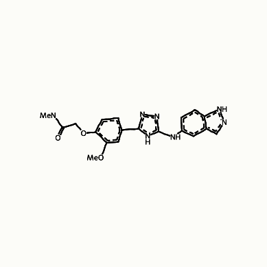 CNC(=O)COc1ccc(-c2nnc(Nc3ccc4[nH]ncc4c3)[nH]2)cc1OC